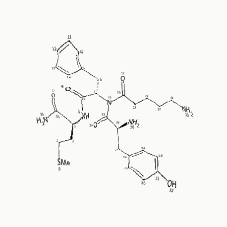 CSCC[C@H](NC(=O)[C@H](Cc1ccccc1)N(C(=O)CCCCN)C(=O)[C@@H](N)Cc1ccc(O)cc1)C(N)=O